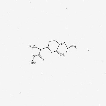 C=C1CC(C(C)C(=O)OC(C)(C)C)CC/C1=C/NN